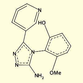 COc1cccc(O)c1-n1c(N)nnc1C1=C=C=CN=C1